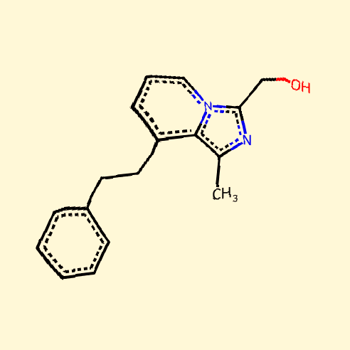 Cc1nc(CO)n2cccc(CCc3ccccc3)c12